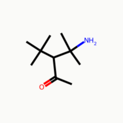 CC(=O)C(C(C)(C)C)C(C)(C)N